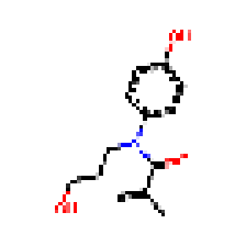 C=C(C)C(=O)N(CCCO)c1ccc(O)cc1